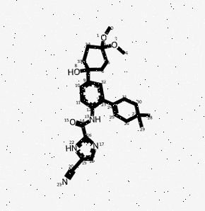 COC1(OC)CCC(O)(c2ccc(NC(=O)c3ncc(C#N)[nH]3)c(C3=CCC(C)(C)CC3)c2)CC1